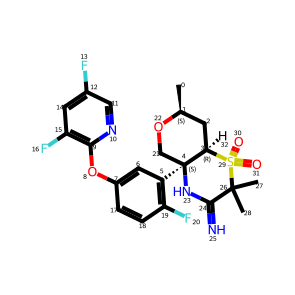 C[C@H]1C[C@@H]2[C@](c3cc(Oc4ncc(F)cc4F)ccc3F)(CO1)NC(=N)C(C)(C)S2(=O)=O